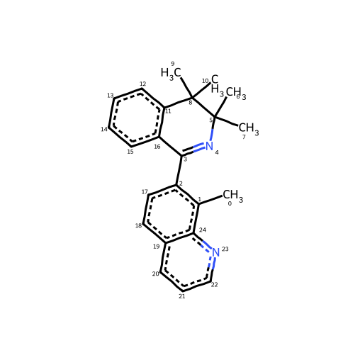 Cc1c(C2=NC(C)(C)C(C)(C)c3ccccc32)ccc2cccnc12